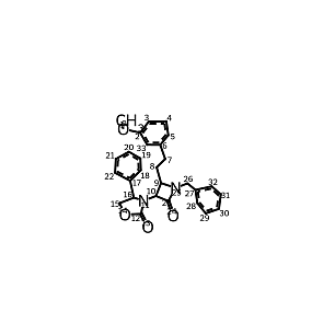 COc1cccc(CCC2C(N3C(=O)OCC3c3ccccc3)C(=O)N2Cc2ccccc2)c1